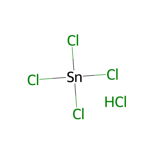 Cl.[Cl][Sn]([Cl])([Cl])[Cl]